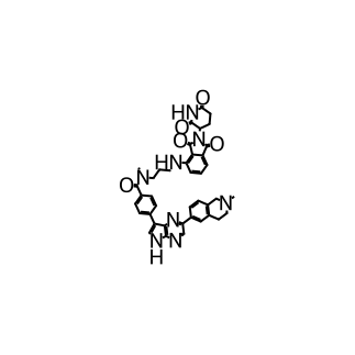 CN1CCc2cc(-c3cnc4[nH]cc(-c5ccc(C(=O)N(C)CCCNc6cccc7c6C(=O)N(C6CCC(=O)NC6=O)C7=O)cc5)c4n3)ccc2C1